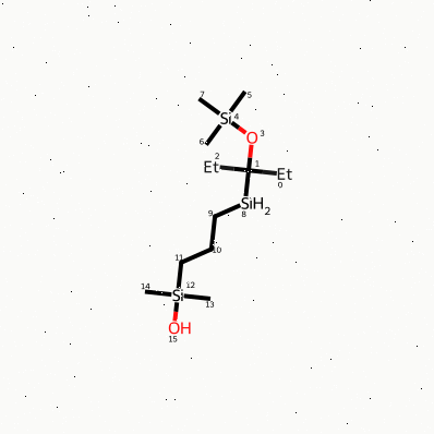 CCC(CC)(O[Si](C)(C)C)[SiH2]CCC[Si](C)(C)O